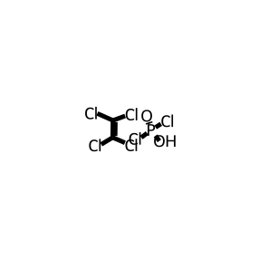 ClC(Cl)=C(Cl)Cl.O=P(O)(Cl)Cl